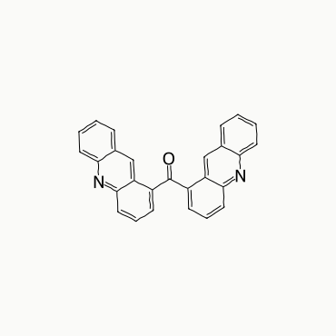 O=C(c1cccc2nc3ccccc3cc12)c1cccc2nc3ccccc3cc12